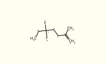 C=C(C)CCC(F)(F)CC